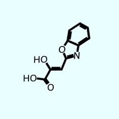 O=C(O)C(O)=Cc1nc2ccccc2o1